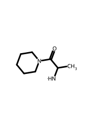 CC([NH])C(=O)N1CCCCC1